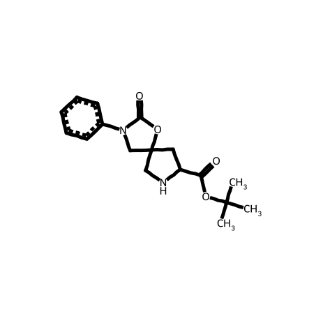 CC(C)(C)OC(=O)C1CC2(CN1)CN(c1ccccc1)C(=O)O2